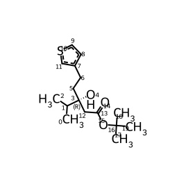 CC(C)[C@@](O)(CCc1ccsc1)CC(=O)OC(C)(C)C